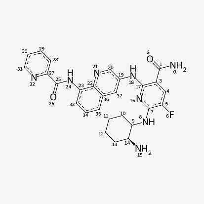 NC(=O)c1cc(F)c(NC2CCCC[C@@H]2N)nc1Nc1cnc2c(NC(=O)c3ccccn3)cccc2c1